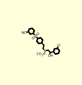 N#Cc1cccc(S(=O)(=O)c2ccc(CCN(CC(O)c3cccc(Cl)c3)C(=O)O)cc2)c1